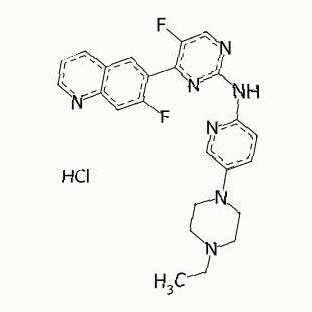 CCN1CCN(c2ccc(Nc3ncc(F)c(-c4cc5cccnc5cc4F)n3)nc2)CC1.Cl